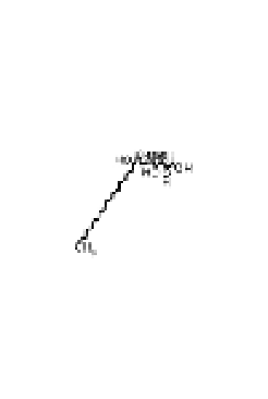 CCCCCCCCCCCCCCCCCC(O)N(C)C[C@H](O)[C@@H](O)[C@H](O)[C@H](O)CO